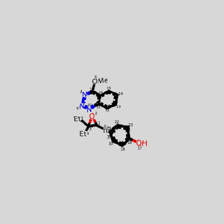 CCCCC1OC1(CC)CC.COc1nnnc2ccccc12.Oc1ccccc1